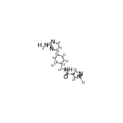 Cc1cc(-c2ccnc(N)n2)ccc1CNC(=O)c1cnn(C)c1